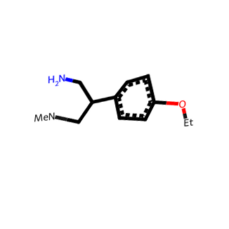 CCOc1ccc(C(CN)CNC)cc1